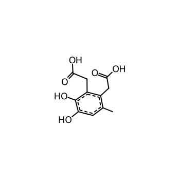 Cc1cc(O)c(O)c(CC(=O)O)c1CC(=O)O